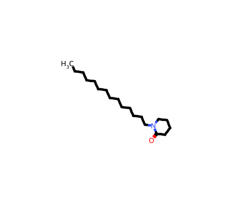 CCCCCCCCCCCCCCN1CCCCC1=O